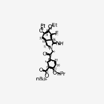 CCCCOC(=O)c1cc(C(=O)CN2Cc3cc(OCC)c(OCC)c(F)c3C2=N)ccc1OC(C)C